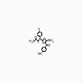 C[C@@H](C(N)=O)N(c1ccc(F)cc1)c1nc(N)c(C(=O)c2ccc(C#N)cc2)s1